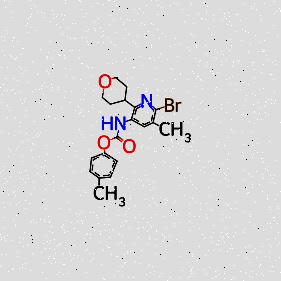 Cc1ccc(OC(=O)Nc2cc(C)c(Br)nc2C2CCOCC2)cc1